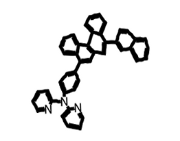 c1ccc(N(c2ccc(-c3cc4cc(-c5ccc6ccccc6c5)c5ccccc5c4c4ccccc34)cc2)c2ccccn2)nc1